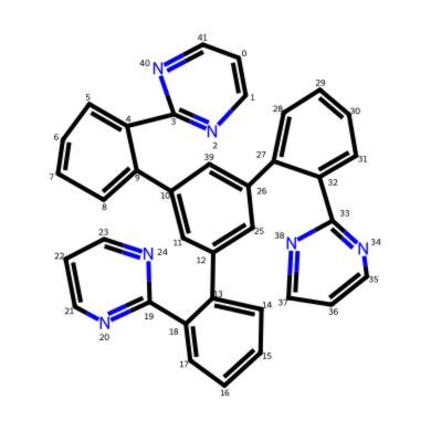 c1cnc(-c2ccccc2-c2cc(-c3ccccc3-c3ncccn3)cc(-c3ccccc3-c3ncccn3)c2)nc1